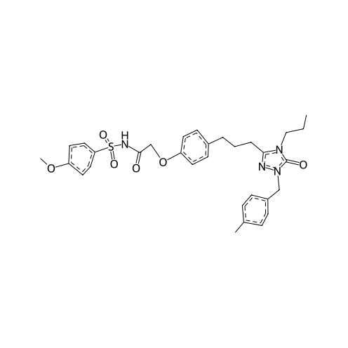 CCCn1c(CCCc2ccc(OCC(=O)NS(=O)(=O)c3ccc(OC)cc3)cc2)nn(Cc2ccc(C)cc2)c1=O